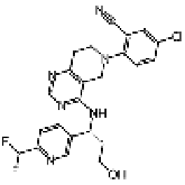 N#Cc1cc(Cl)ccc1N1CCc2ncnc(N[C@H](CCO)c3ccc(C(F)F)nc3)c2C1